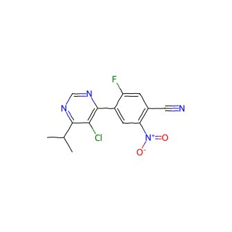 CC(C)c1ncnc(-c2cc([N+](=O)[O-])c(C#N)cc2F)c1Cl